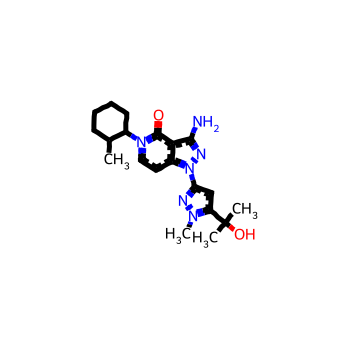 CC1CCCCC1n1ccc2c(c(N)nn2-c2cc(C(C)(C)O)n(C)n2)c1=O